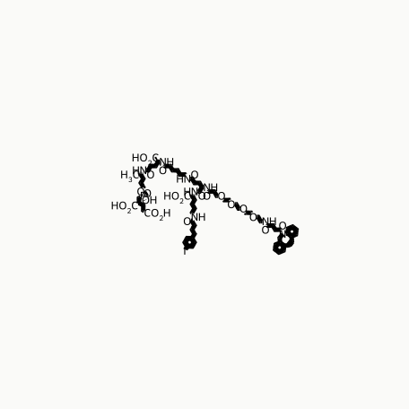 C[C@H](CCCOP(=O)(O)CC(CCC(=O)O)C(=O)O)NC(=O)CC[C@H](NC(=O)CCCCCNC(=O)CCC(NC(=O)CCOCCOCCOCCOCCNC(=O)CCC(=O)N1Cc2ccccc2C#Cc2ccccc21)C(=O)N[C@@H](CCCCNC(=O)CCCc1ccc(I)cc1)C(=O)O)C(=O)O